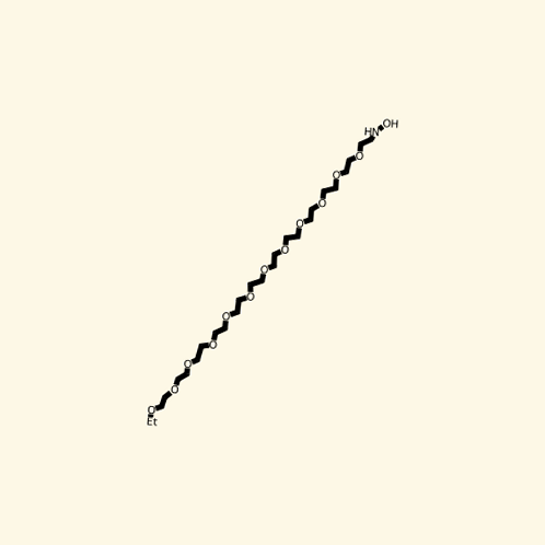 CCOCCOCCOCCOCCOCCOCCOCCOCCOCCOCCOCCOCCNO